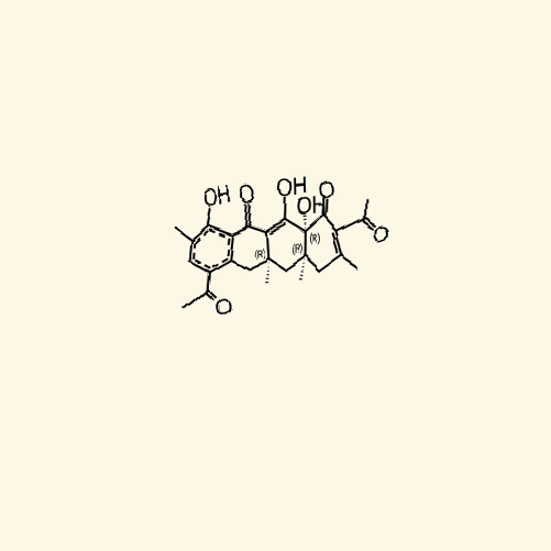 CC(=O)C1=C(C)C[C@@]2(C)C[C@@]3(C)Cc4c(C(C)=O)cc(C)c(O)c4C(=O)C3=C(O)[C@@]2(O)C1=O